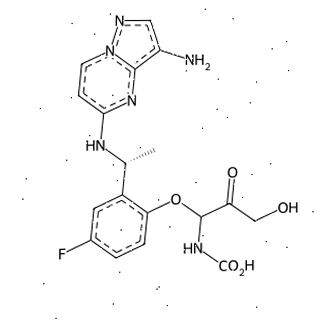 C[C@@H](Nc1ccn2ncc(N)c2n1)c1cc(F)ccc1OC(NC(=O)O)C(=O)CO